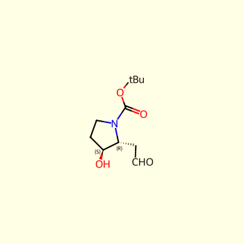 CC(C)(C)OC(=O)N1CC[C@H](O)[C@H]1CC=O